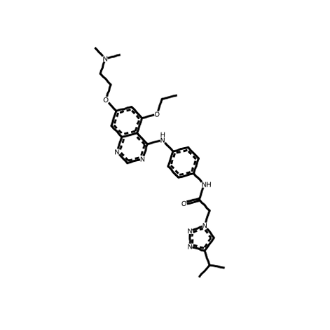 CCOc1cc(OCCN(C)C)cc2ncnc(Nc3ccc(NC(=O)Cn4cc(C(C)C)nn4)cc3)c12